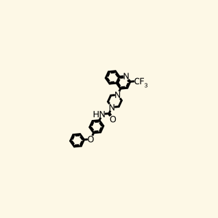 O=C(Nc1ccc(Oc2ccccc2)cc1)N1CCN(c2cc(C(F)(F)F)nc3ccccc23)CC1